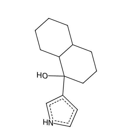 OC1(c2cc[nH]c2)CCCC2CCCCC21